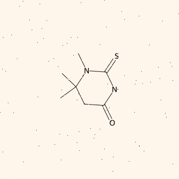 CN1C(=S)[N]C(=O)CC1(C)C